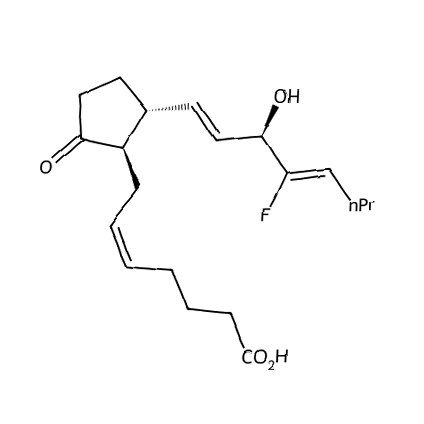 CCC/C=C(\F)[C@H](O)/C=C/[C@H]1CCC(=O)[C@@H]1C/C=C\CCCC(=O)O